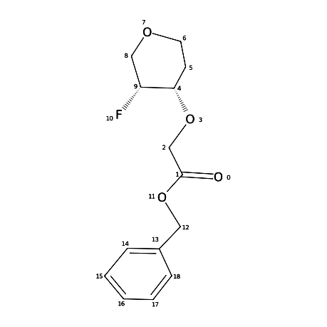 O=C(CO[C@H]1CCOC[C@H]1F)OCc1ccccc1